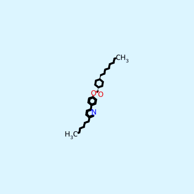 CCCCCCCC[C@H]1CC[C@H](C(=O)Oc2ccc(-c3ccc(CCCCCC)cn3)cc2)CC1